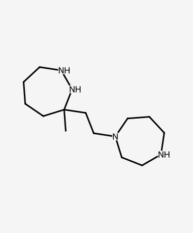 CC1(CCN2CCCNCC2)CCCCNN1